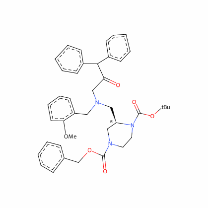 COc1ccccc1CN(CC(=O)C(c1ccccc1)c1ccccc1)C[C@@H]1CN(C(=O)OCc2ccccc2)CCN1C(=O)OC(C)(C)C